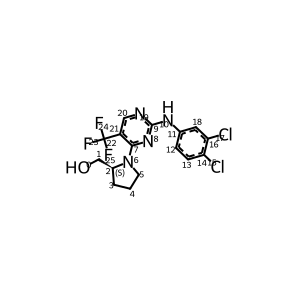 OC[C@@H]1CCCN1c1nc(Nc2ccc(Cl)c(Cl)c2)ncc1C(F)(F)F